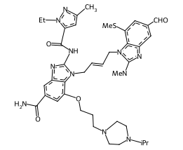 CCn1nc(C)cc1C(=O)Nc1nc2cc(C(N)=O)cc(OCCCN3CCN(C(C)C)CC3)c2n1C/C=C/Cn1c(NC)nc2cc(C=O)cc(SC)c21